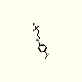 COc1ccc(NCCCC(F)(F)F)cc1